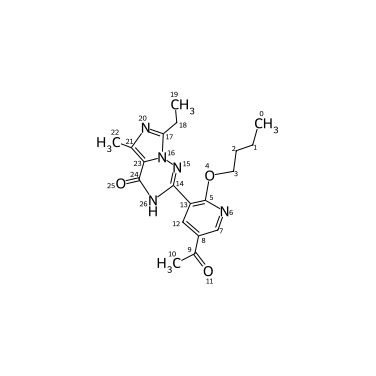 CCCCOc1ncc(C(C)=O)cc1-c1nn2c(CC)nc(C)c2c(=O)[nH]1